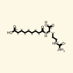 NC(=O)NCCC[C@H](NC(=O)CCCCCCCC(=O)O)C(=O)O